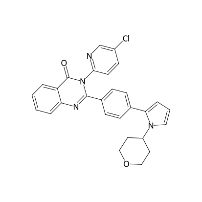 O=c1c2ccccc2nc(-c2ccc(-c3cccn3C3CCOCC3)cc2)n1-c1ccc(Cl)cn1